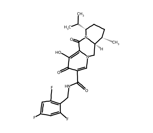 CC(C)[C@@H]1CC[C@H](C)[C@H]2Cn3cc(C(=O)NCc4c(F)cc(F)cc4F)c(=O)c(O)c3C(=O)N21